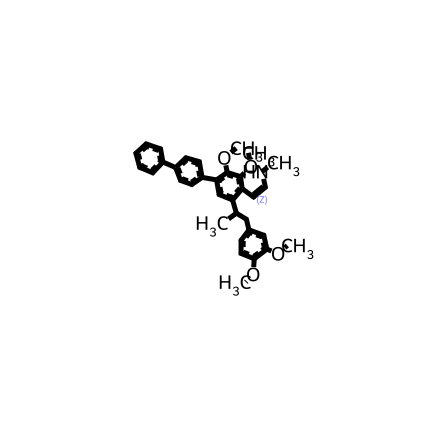 CN/C=C\c1c(C(C)Cc2ccc(OC)c(OC)c2)cc(-c2ccc(-c3ccccc3)cc2)c(OC)c1OC